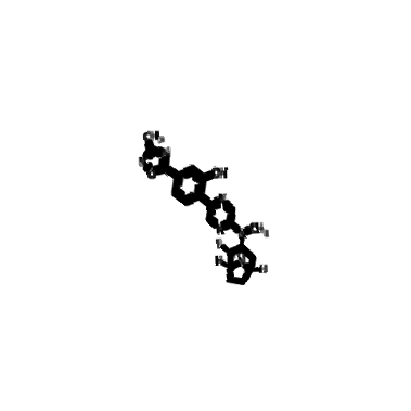 Cc1noc(-c2ccc(-c3cnc(N(C)[C@H]4C[C@@H]5CC[C@@H](N5)[C@H]4F)cn3)c(O)c2)n1